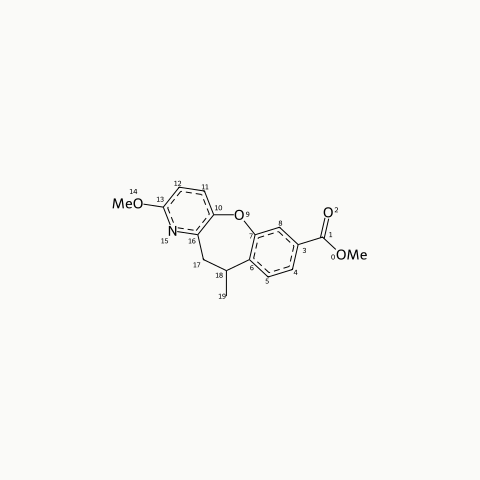 COC(=O)c1ccc2c(c1)Oc1ccc(OC)nc1CC2C